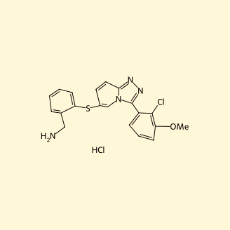 COc1cccc(-c2nnc3ccc(Sc4ccccc4CN)cn23)c1Cl.Cl